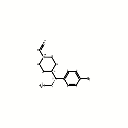 NC[C@@H](c1ccc(Br)cc1)C1CCN(C=O)CC1